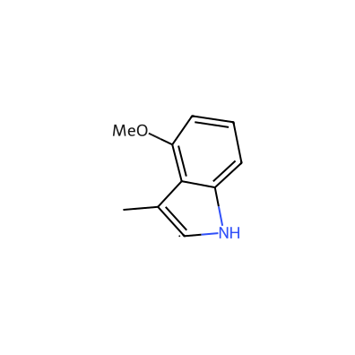 COc1cccc2[nH][c]c(C)c12